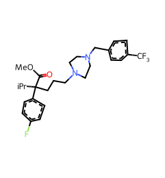 COC(=O)C(CCCN1CCN(Cc2ccc(C(F)(F)F)cc2)CC1)(c1ccc(F)cc1)C(C)C